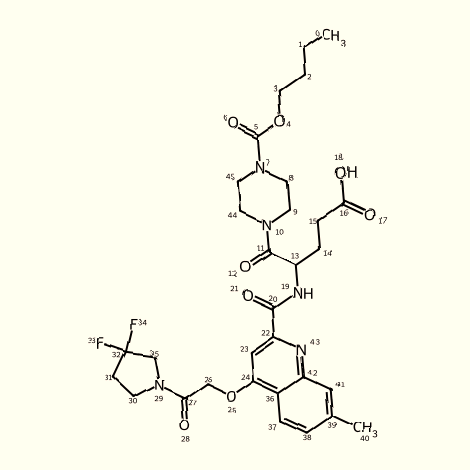 CCCCOC(=O)N1CCN(C(=O)C(CCC(=O)O)NC(=O)c2cc(OCC(=O)N3CCC(F)(F)C3)c3ccc(C)cc3n2)CC1